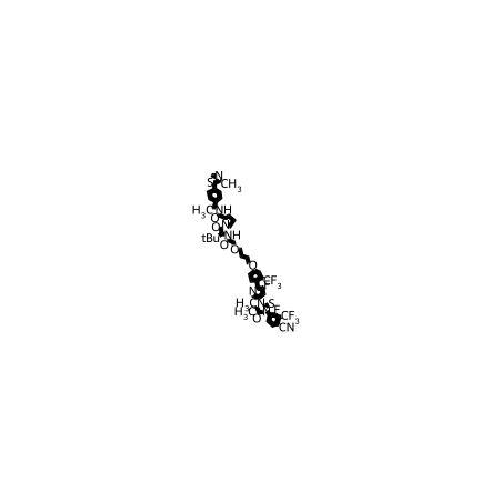 Cc1ncsc1-c1ccc([C@H](C)NC(=O)C2CCCN2C(=O)C(NC(=O)COCCCCOc2ccc(-c3ncc(N4C(=S)N(c5ccc(C#N)c(C(F)(F)F)c5F)C(=O)C4(C)C)cc3F)c(C(F)(F)F)c2)C(C)(C)C)cc1